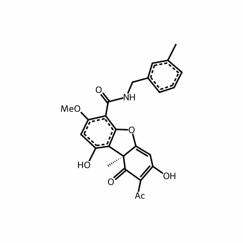 COc1cc(O)c2c(c1C(=O)NCc1cccc(C)c1)OC1=CC(O)=C(C(C)=O)C(=O)[C@]12C